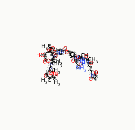 CC[C@H](O)[C@@H](C)[C@H]1O[C@@H]1C[C@@](C)(O)/C=C/C=C(\C)[C@H]1OC(=O)C[C@H](O)CC[C@@](C)(OC(C)=O)[C@@H](OC(=O)N2CCN(C(=O)OCc3ccc(NC(=O)[C@H](CC(N)=O)NC(=O)[C@H](C)NC(=O)[C@H](C)NC(=O)CCCCCN4C(=O)C=CC4=O)cc3)CC2)/C=C/[C@@H]1C